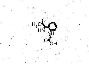 CC(=O)C(=N)c1ccccc1NCC(=O)O